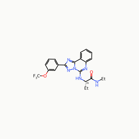 CCNC(=O)[C@H](CC)Nc1nc2ccccc2c2nc(-c3cccc(OC(F)(F)F)c3)nn12